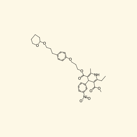 CCC1=C(C(=O)OC)C(c2cccc([N+](=O)[O-])c2)C(C(=O)OCCCOc2ccc(CCCOC3CCCCO3)cc2)=C(C)N1